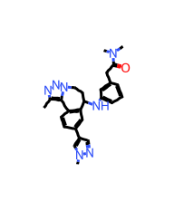 Cc1nnn2c1-c1ccc(-c3cnn(C)c3)cc1C(Nc1cccc(CC(=O)N(C)C)c1)CC2